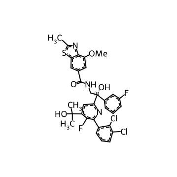 COc1cc(C(=O)NC[C@@](O)(c2cccc(F)c2)c2cc(C(C)(C)O)c(F)c(-c3cccc(Cl)c3Cl)n2)cc2sc(C)nc12